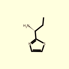 CC[C@@H](N)c1nccs1